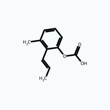 CC=Cc1c(C)cccc1OC(=O)O